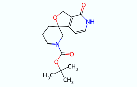 CC(C)(C)OC(=O)N1CCCC2(C1)OCc1c2cc[nH]c1=O